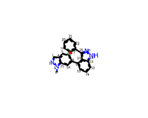 Cn1ncc2cc(F)c(-c3cccc4[nH]nc(-c5ccccc5)c34)cc21